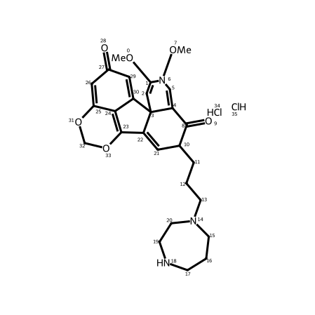 COC1=CC23C(=CN1OC)C(=O)C(CCCN1CCCNCC1)C=C2C1=C2C(=CC(=O)C=C23)OCO1.Cl.Cl